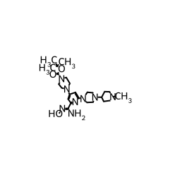 CN1CCC(N2CCN(c3cc(N4CCN(C(=O)OC(C)(C)C)CC4)cc(/C(N)=N/O)n3)CC2)CC1